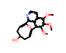 COc1c(OC)c2c3c(nccc3c1OC)/C1=C/CC(O)C/C=C/2O1